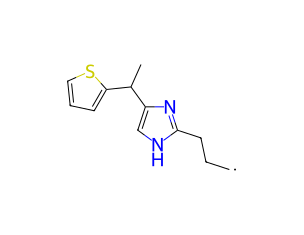 [CH2]CCc1nc(C(C)c2cccs2)c[nH]1